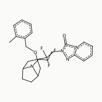 Cc1ccccc1COC1(C(F)(F)F)CC2CCC(C1)N2CCCn1nc2ccccn2c1=O